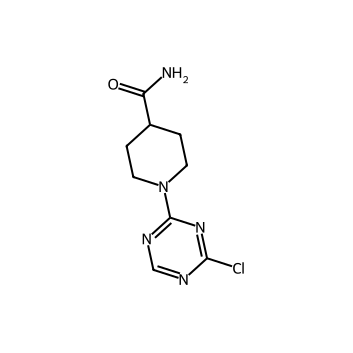 NC(=O)C1CCN(c2ncnc(Cl)n2)CC1